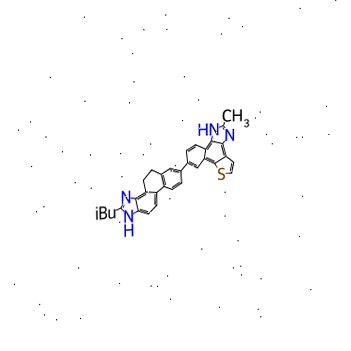 CCC(C)c1nc2c3c(ccc2[nH]1)-c1ccc(-c2ccc4c(c2)c2sccc2c2nc(C)[nH]c42)cc1CC3